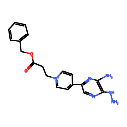 NNc1ncc(-c2cc[n+](CCC(=O)OCc3ccccc3)cc2)nc1N